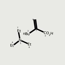 C=C(CCCC)C(=O)O.CCN(CC)CC